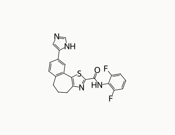 O=C(Nc1c(F)cccc1F)c1nc2c(s1)-c1cc(-c3cnc[nH]3)ccc1CCC2